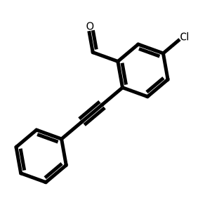 O=Cc1cc(Cl)ccc1C#Cc1ccccc1